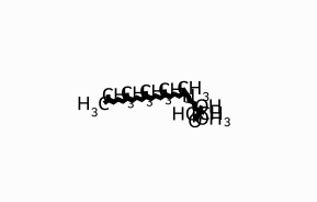 CC(C)=CCC/C(C)=C/CC/C(C)=C/CC/C(C)=C/CC/C(C)=N\CCCC(C)(O)P(=O)(O)O